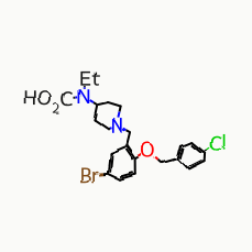 CCN(C(=O)O)C1CCN(Cc2cc(Br)ccc2OCc2ccc(Cl)cc2)CC1